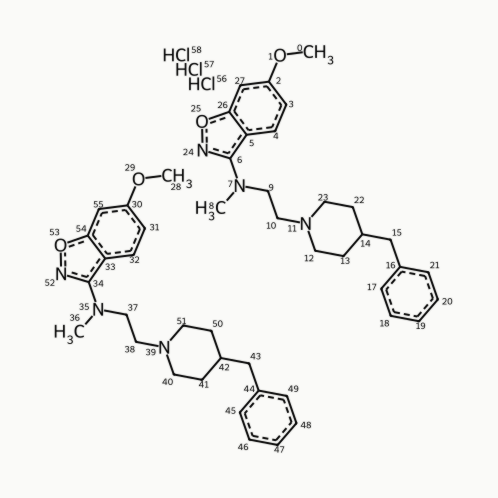 COc1ccc2c(N(C)CCN3CCC(Cc4ccccc4)CC3)noc2c1.COc1ccc2c(N(C)CCN3CCC(Cc4ccccc4)CC3)noc2c1.Cl.Cl.Cl